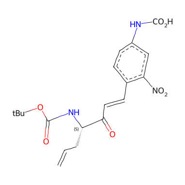 C=CC[C@H](NC(=O)OC(C)(C)C)C(=O)C=Cc1ccc(NC(=O)O)cc1[N+](=O)[O-]